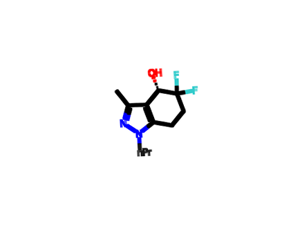 CCCn1nc(C)c2c1CCC(F)(F)[C@H]2O